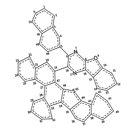 c1ccc2cc(-c3nc4oc5ccccc5c4nc3-c3cc4ccccc4c4c5ccccc5c5c6ccc7ccccc7c6sc5c34)ccc2c1